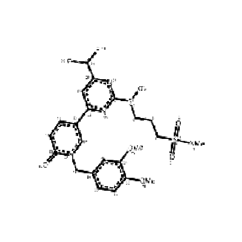 CNS(=O)(=O)CCC[S+]([O-])c1nc(-c2ccc(=O)n(Cc3ccc(OC)c(OC)c3)c2)cc(C(F)F)n1